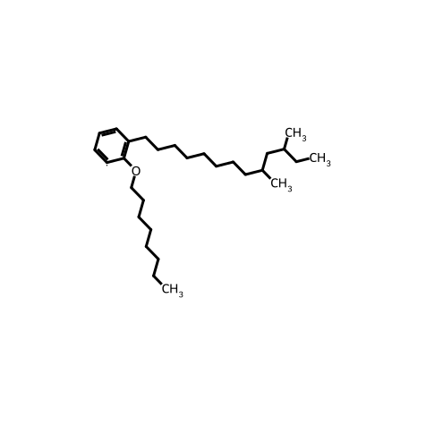 CCCCCCCCOc1[c]cccc1CCCCCCCCC(C)CC(C)CC